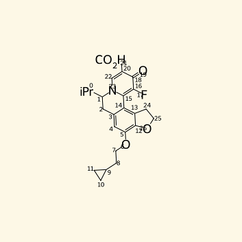 CC(C)C1Cc2cc(OCCC3CC3)c3c(c2-c2c(F)c(=O)c(C(=O)O)cn21)CCO3